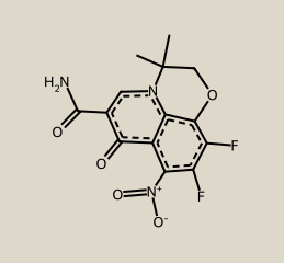 CC1(C)COc2c(F)c(F)c([N+](=O)[O-])c3c(=O)c(C(N)=O)cn1c23